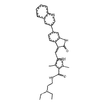 CCN(CC)CCNC(=O)c1c(C)[nH]c(/C=C2\C(=O)Nc3cc(-c4cnc5ccccc5c4)ccc32)c1C